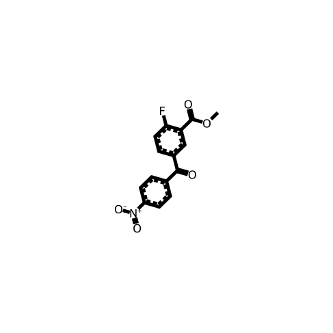 COC(=O)c1cc(C(=O)c2ccc([N+](=O)[O-])cc2)ccc1F